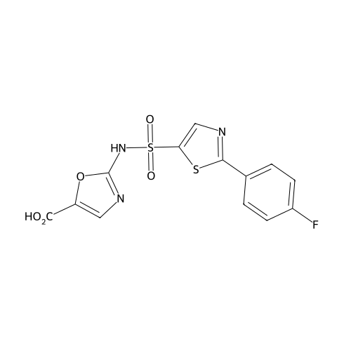 O=C(O)c1cnc(NS(=O)(=O)c2cnc(-c3ccc(F)cc3)s2)o1